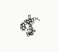 CCc1[nH]c2nc(Sc3cnc4nccnc4c3)nc(N3CC(CNC(=O)[C@H]4CCC(=O)N4)C3)c2c1Cl